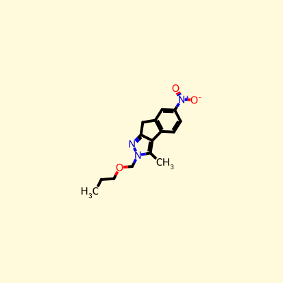 CCCOCn1nc2c(c1C)-c1ccc([N+](=O)[O-])cc1C2